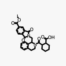 O=C(OI)c1ccc2c(c1)C(=O)N(CC1c3ccccc3CCN1C(=O)C1CCCCC1C(=O)O)C2=O